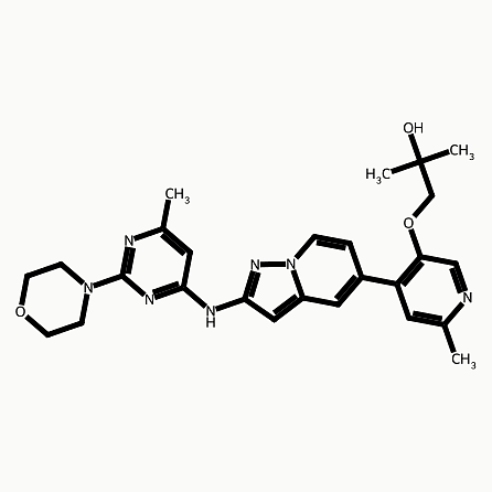 Cc1cc(-c2ccn3nc(Nc4cc(C)nc(N5CCOCC5)n4)cc3c2)c(OCC(C)(C)O)cn1